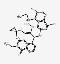 CC(C)(C)CNc1c(C#N)cnc2c(C#N)cc(N[C@H](/C(=C/NC3(C(F)(F)F)CC3)NN)c3cccc4c(=O)n(CC(F)(F)F)ccc34)cc12